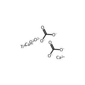 O=C([O-])[O-].O=C([O-])[O-].[Ca+2].[Ca+2].[O-2].[O-2].[Ti+4]